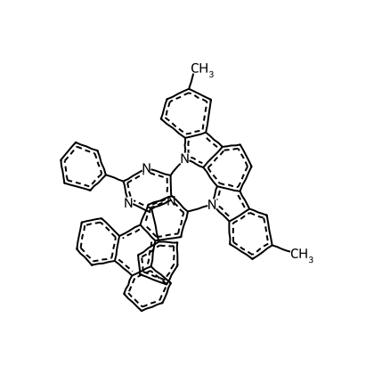 Cc1ccc2c(c1)c1ccc3c4cc(C)ccc4n(-c4nc(-c5ccccc5)nc(-c5ccccc5)n4)c3c1n2-c1ccc2c3ccccc3c3ccccc3c2c1